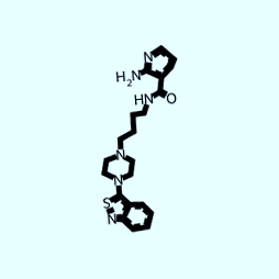 Nc1ncccc1C(=O)NCCCCN1CCN(c2snc3ccccc23)CC1